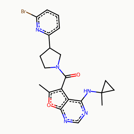 Cc1oc2ncnc(NC3(C)CC3)c2c1C(=O)N1CCC(c2cccc(Br)n2)C1